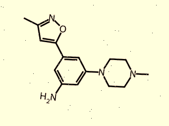 Cc1cc(-c2cc(N)cc(N3CCN(C)CC3)c2)on1